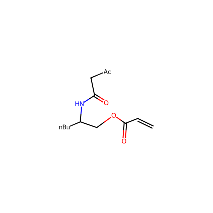 C=CC(=O)OCC(CCCC)NC(=O)CC(C)=O